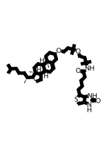 CC(C)CCC[C@@H](C)[C@H]1CC[C@H]2[C@@H]3CC=C4C[C@H](OCCC(C)(C)OCCC(C)(C)NC(=O)CCCCC5SCC6NC(=O)NC65)CC[C@]4(C)[C@H]3CC[C@]12C